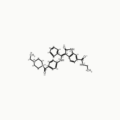 CCNC(=O)c1ccc2c(c1)NC(=O)C2=C(Nc1ccc(C(=O)N2CCN(CC)CC2)cc1)c1ccccc1